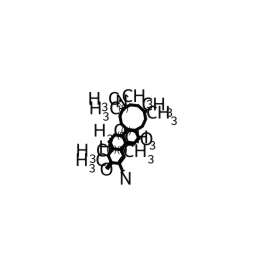 CN(C)[C@@]1(C)CCC(C)(C)CCC2C(=O)C=C3[C@@]4(C)C=C(C#N)C(=O)C(C)(C)[C@@H]4CC[C@@]3(C)[C@]2(C)CC1